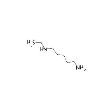 NCCCCCNC[SiH3]